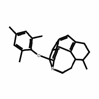 Cc1cc(C)c(OC2=Cc3cc4c5cc3CN2CCC5C(C)CC4)c(C)c1